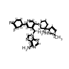 CN1C=CC([C@@]2(N)CCCN(c3cnc(-c4ccc(F)c(F)c4)cc3Cn3cnc4c(N)ncnc43)C2)N1